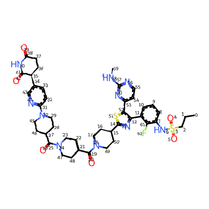 CCCS(=O)(=O)Nc1cccc(-c2nc(C3CCN(C(=O)C4CCN(C(=O)C5CCN(c6ccc([C@@H]7CCC(=O)NC7=O)cn6)CC5)CC4)CC3)sc2-c2ccnc(NC)n2)c1F